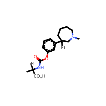 CCC1(c2cccc(OC(=O)NC(C)(C(=O)O)C(C)C)c2)CCCCN(C)C1